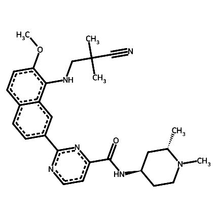 COc1ccc2ccc(-c3nccc(C(=O)N[C@@H]4CCN(C)[C@@H](C)C4)n3)cc2c1NCC(C)(C)C#N